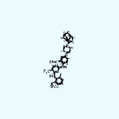 CNCc1cccc(C)c1Nc1nc(Nc2ccc(N3CCN(C4C5CC6CC(C5)CC4C6)CC3)cc2OC)ncc1C(F)(F)F